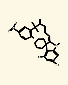 C=C(/C=C/C=C1/N(C)c2cc(Cl)cc(Cl)c2C12CCCCC2)C(C)(C)c1cc([N+](=O)[O-])ccc1C